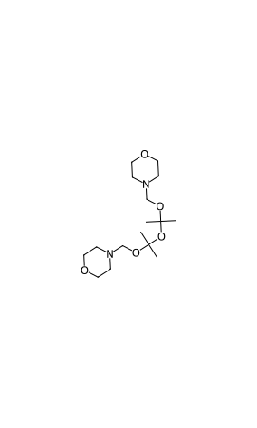 CC(C)(OCN1CCOCC1)OC(C)(C)OCN1CCOCC1